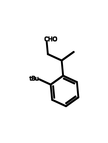 CC(CC=O)c1ccccc1C(C)(C)C